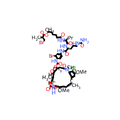 C=C(CBr)C(=O)OC(C)CCCCC(=O)N[C@H](C(=O)N[C@@H](CCCNC(N)=O)C(=O)Nc1ccc(NC(=O)O[C@H]2CC(=O)N(C)c3cc(cc(OC)c3Cl)C/C(C)=C/C=C/[C@@H](OC)[C@@]3(O)C[C@H](OC(=O)N3)[C@@H](C)[C@@H]3O[C@@]23C)c(Br)c1)C(C)C